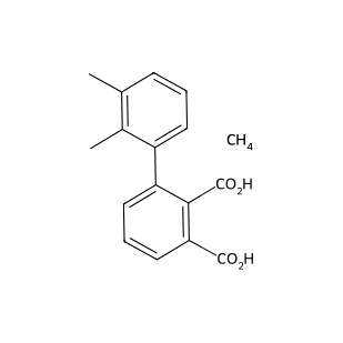 C.Cc1cccc(-c2cccc(C(=O)O)c2C(=O)O)c1C